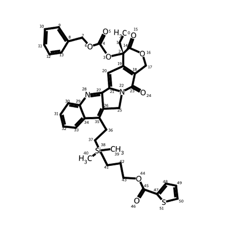 CC[C@@]1(OC(=O)OCc2ccccc2)C(=O)OCc2c1cc1n(c2=O)Cc2c-1nc1ccccc1c2CC[Si](C)(C)CCCOC(=O)c1cccs1